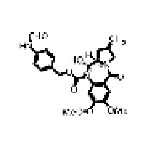 C=C1C[C@H]2[C@H](O)N(C(=O)OCc3ccc(NC=O)cc3)c3cc(OOC)c(OC)cc3C(=O)N2C1